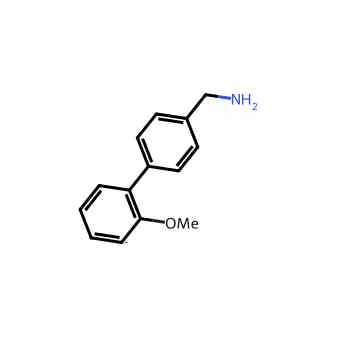 COc1[c]cccc1-c1ccc(CN)cc1